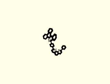 C1=Cc2c(c3nc(-c4ccc(-c5ccc6ccc7ccc(-c8ccccc8)nc7c6n5)cc4)c4ccccc4c3c3ccccc23)CC1